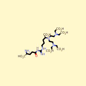 N=C(NCCC[C@@H](C(=O)O)N(CCN(CC(=O)O)CC(=O)O)CCN(CC(=O)O)CC(=O)O)NC(=O)CC[C@H](N)C(=O)O